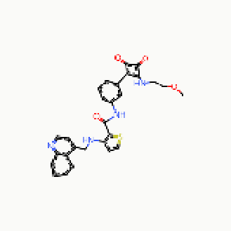 COCCNc1c(-c2cccc(NC(=O)c3sccc3NCc3ccnc4ccccc34)c2)c(=O)c1=O